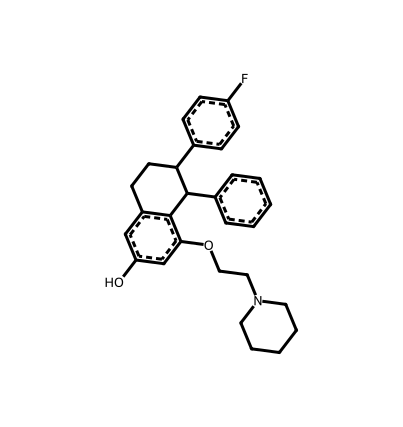 Oc1cc2c(c(OCCN3CCCCC3)c1)C(c1ccccc1)C(c1ccc(F)cc1)CC2